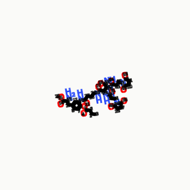 CCCC(=O)Oc1ccc(C[C@H](N)C(=O)OC)cc1NC(=O)CCCNC(=O)C(NC(=O)CCN1C(=O)C=CC1=O)C(NC(=O)CCN1C(=O)C=CC1=O)C(N)=O